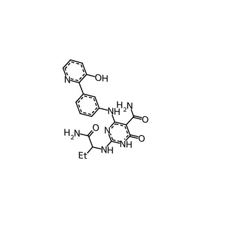 CCC(Nc1nc(Nc2cccc(-c3ncccc3O)c2)c(C(N)=O)c(=O)[nH]1)C(N)=O